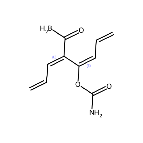 BC(=O)C(=C/C=C)/C(=C\C=C)OC(N)=O